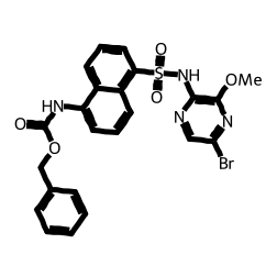 COc1nc(Br)cnc1NS(=O)(=O)c1cccc2c(NC(=O)OCc3ccccc3)cccc12